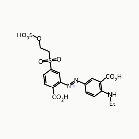 CCNc1ccc(/N=N/c2cc(S(=O)(=O)CCOS(=O)(=O)O)ccc2C(=O)O)cc1C(=O)O